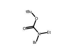 CCN(Br)C(=O)OC(C)(C)C